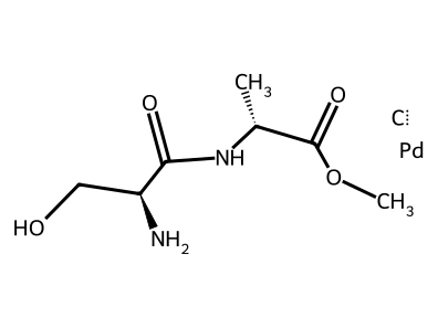 COC(=O)[C@@H](C)NC(=O)[C@@H](N)CO.[C].[Pd]